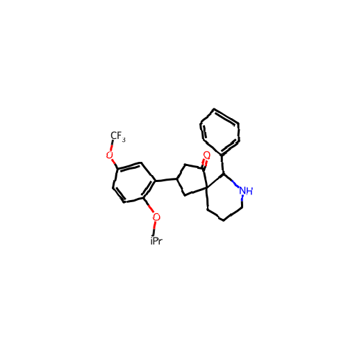 CC(C)Oc1ccc(OC(F)(F)F)cc1C1CC(=O)C2(CCCNC2c2ccccc2)C1